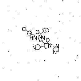 O=C(c1ccoc1)n1nc(-c2c(-c3ccncc3)ccn(Cc3cnccn3)c2=O)cc1NCc1ccc(Cl)s1